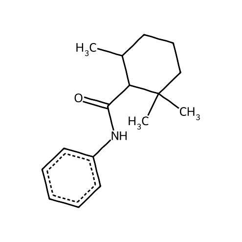 CC1CCCC(C)(C)C1C(=O)Nc1ccccc1